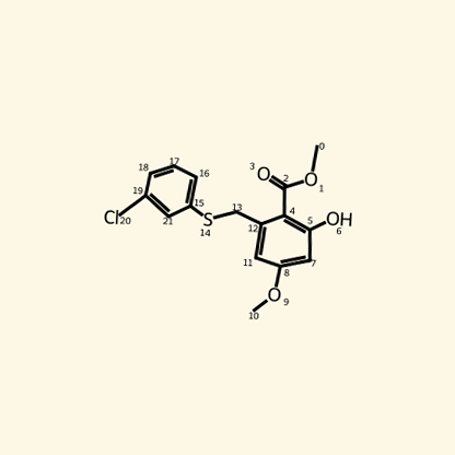 COC(=O)c1c(O)cc(OC)cc1CSc1cccc(Cl)c1